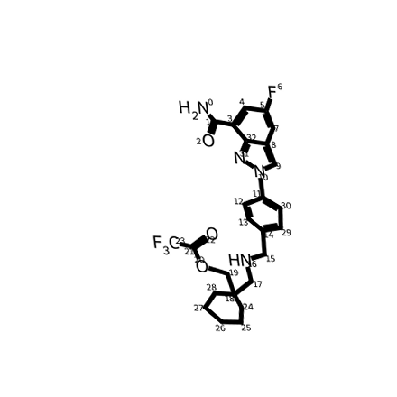 NC(=O)c1cc(F)cc2cn(-c3ccc(CNCC4(COC(=O)C(F)(F)F)CCCCC4)cc3)nc12